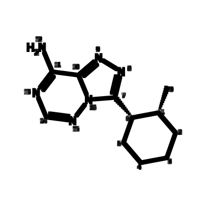 C[C@@H]1CCCC[C@@H]1c1nnc2c(N)ncnn12